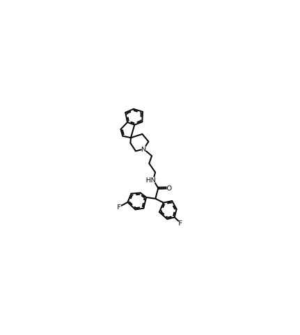 O=C(NCCCN1CCC2(C=Cc3ccccc32)CC1)C(c1ccc(F)cc1)c1ccc(F)cc1